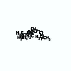 C=C(c1ccc(CCC(C)(CC)CC)cc1CC)C1(C)C=CC(CC2C=CC(CC(C)(C)F)=CC2)=CC1